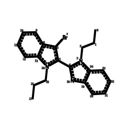 CCCn1c(-c2c(Br)c3ccccc3n2CCC)nc2ccccc21